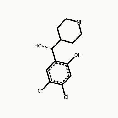 Oc1cc(Cl)c(Cl)cc1[C@H](O)C1CCNCC1